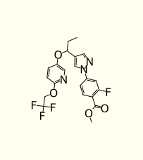 CCC(Oc1ccc(OCC(F)(F)F)nc1)c1cnn(-c2ccc(C(=O)OC)c(F)c2)c1